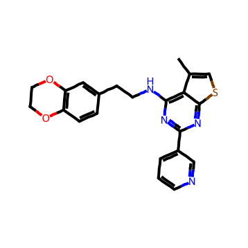 Cc1csc2nc(-c3cccnc3)nc(NCCc3ccc4c(c3)OCCO4)c12